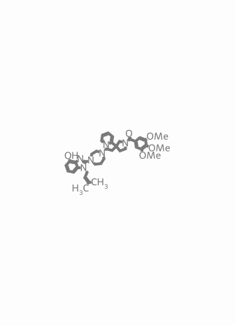 COc1cc(C(=O)N2CCC(CCN3CCCN(c4nc5c(O)cccc5n4CC=C(C)C)CC3)(c3ccccn3)C2)cc(OC)c1OC